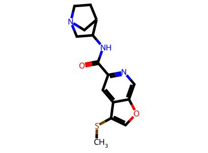 CSc1coc2cnc(C(=O)NC3CN4CCC3C4)cc12